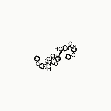 CN1C(=O)[C@H](NC(=O)c2cc(Oc3ccccc3)ccn2)COc2ccc(C#CC3(O)CCN(C(=O)c4cc(Oc5ccccc5)ccn4)CC3)cc21